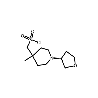 CC1(CS(=O)(=O)Cl)CCN([C@H]2CCOC2)CC1